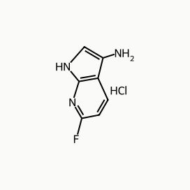 Cl.Nc1c[nH]c2nc(F)ccc12